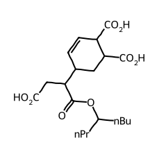 CCCCC(CCC)OC(=O)C(CC(=O)O)C1C=CC(C(=O)O)C(C(=O)O)C1